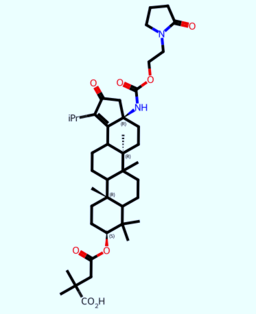 CC(C)C1=C2C3CCC4C(C)(CCC5C(C)(C)[C@@H](OC(=O)CC(C)(C)C(=O)O)CC[C@@]54C)[C@]3(C)CC[C@@]2(NC(=O)OCCN2CCCC2=O)CC1=O